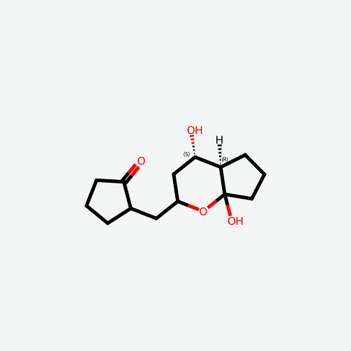 O=C1CCCC1CC1C[C@H](O)[C@H]2CCCC2(O)O1